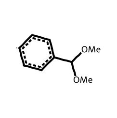 COC(OC)c1cc[c]cc1